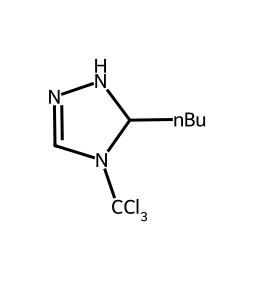 CCCCC1NN=CN1C(Cl)(Cl)Cl